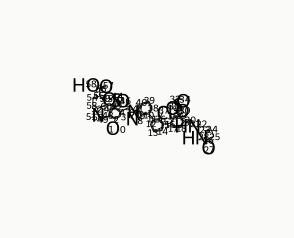 COc1cc(Cn2ncc3c(-c4cccc(-c5ccc(CNC[C@@H]6CCC(=O)N6)c(OS(C)(=O)=O)c5)c4Cl)cccc32)c(S(C)(=O)=O)cc1CN(C)C1CCC(C(=O)O)CC1